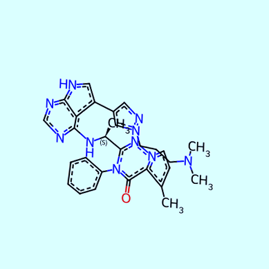 Cc1ccn2nc([C@H](C)Nc3ncnc4[nH]cc(-c5cnn(CCCN(C)C)c5)c34)n(-c3ccccc3)c(=O)c12